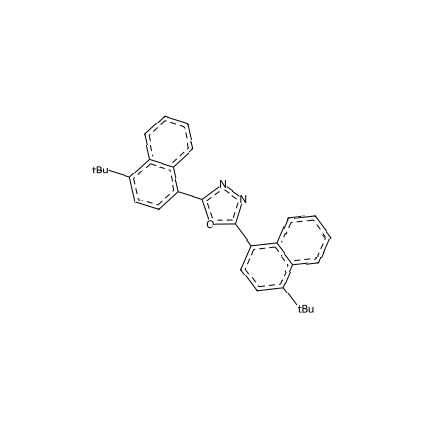 CC(C)(C)c1ccc(-c2nnc(-c3ccc(C(C)(C)C)c4ccccc34)o2)c2ccccc12